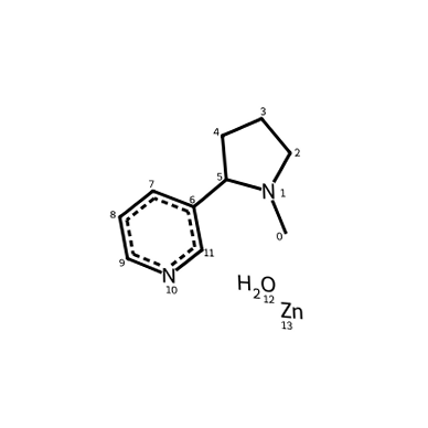 CN1CCCC1c1cccnc1.O.[Zn]